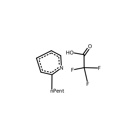 CCCCCc1ccccn1.O=C(O)C(F)(F)F